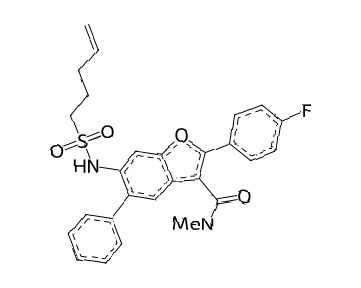 C=CCCCS(=O)(=O)Nc1cc2oc(-c3ccc(F)cc3)c(C(=O)NC)c2cc1-c1ccccc1